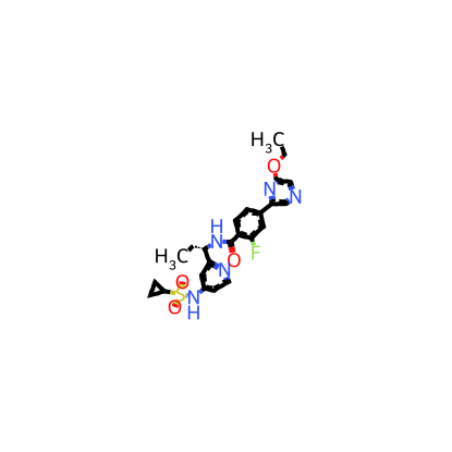 CCOc1cncc(-c2ccc(C(=O)N[C@@H](CC)c3cc(NS(=O)(=O)C4CC4)ccn3)c(F)c2)n1